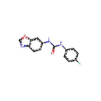 O=C(Nc1ccc(F)cc1)Nc1ccc2ncoc2c1